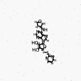 O[C@@H]1[C@H](O)[C@@H](CSc2ncccn2)O[C@H]1n1cnc2c(N[C@H]3CCOC3)ncnc21